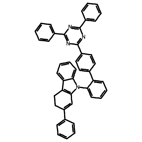 C1=C(c2ccccc2)CCc2c1n(-c1ccccc1-c1ccc(-c3nc(-c4ccccc4)nc(-c4ccccc4)n3)cc1)c1ccccc21